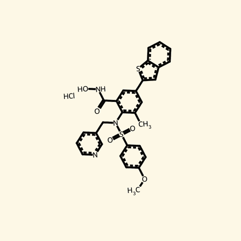 COc1ccc(S(=O)(=O)N(Cc2cccnc2)c2c(C)cc(-c3cc4ccccc4s3)cc2C(=O)NO)cc1.Cl